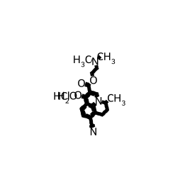 CC1CCc2c(C#N)ccc3c(=O)c(C(=O)OCCN(C)C)cn1c23.Cl.O